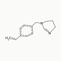 C=Cc1ccc(CN2C=NCCC2)cc1